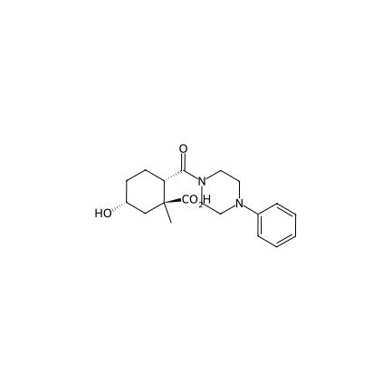 C[C@]1(C(=O)O)C[C@H](O)CC[C@@H]1C(=O)N1CCN(c2ccccc2)CC1